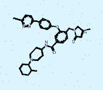 Cc1ccc(-c2ccc(Oc3cc(C(=O)NC4CCN(C5CCCCC5C)CC4)ccc3CN3C[C@@H](C)CC3=O)cc2)nn1